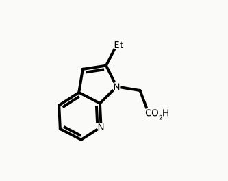 CCc1cc2cccnc2n1CC(=O)O